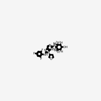 [2H]C1C(O)C([2H])C([2H])([2H])C([2H])(Nc2ncc3nc(Nc4c(F)cc(F)cc4F)n(C4CCOC4)c3n2)C1([2H])[2H]